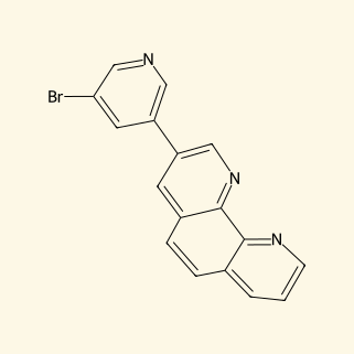 Brc1cncc(-c2cnc3c(ccc4cccnc43)c2)c1